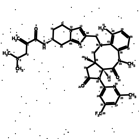 C=C(CN(C)C)C(=O)N[C@@H]1CCn2cc(CN3C[C@H]4CC(=O)N(c5cc(C(F)(F)F)cc(C)n5)[C@@H]4C(=O)N(C)c4cccc(C)c43)nc2C1